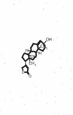 C[C@]12CC[C@H](O)C=C1CC[C@@H]1[C@@H]2CC[C@]2(C)[C@@H](C3=CC(=O)OC3)CC[C@]12O